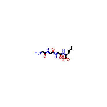 CCCC[C@H](NC(=O)CNC(=O)CNC(=O)CN)C(=O)O